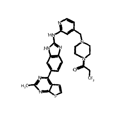 Cc1nc(-c2ccc3nc(Nc4cc(CN5CCN(C(=O)CC(F)(F)F)CC5)ccn4)[nH]c3c2)c2ccsc2n1